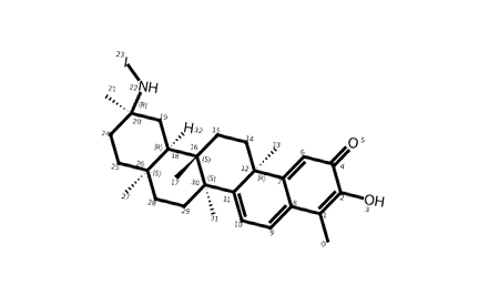 CC1=C(O)C(=O)C=C2C1=CC=C1[C@@]2(C)CC[C@@]2(C)[C@@H]3C[C@](C)(NI)CC[C@]3(C)CC[C@]12C